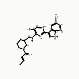 C/C=C/C(=O)N1CCCC(CNc2nc(-c3c[nH]c4ncc(Cl)cc34)ncc2F)C1